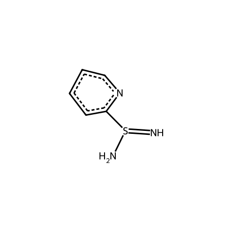 N=S(N)c1ccccn1